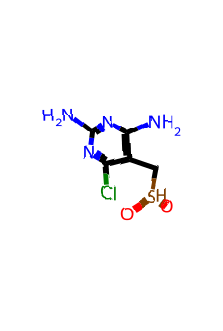 Nc1nc(N)c(C[SH](=O)=O)c(Cl)n1